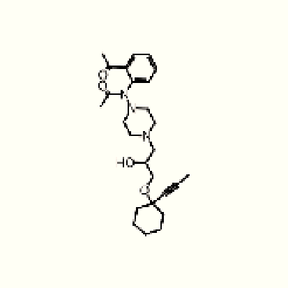 CC#CC1(OCC(O)CN2CCN(N(C(C)=O)c3ccccc3C(C)=O)CC2)CCCCC1